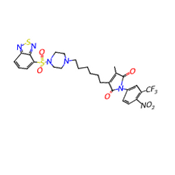 CC1=C(CCCCCCN2CCN(S(=O)(=O)c3cccc4nsnc34)CC2)C(=O)N(c2ccc([N+](=O)[O-])c(C(F)(F)F)c2)C1=O